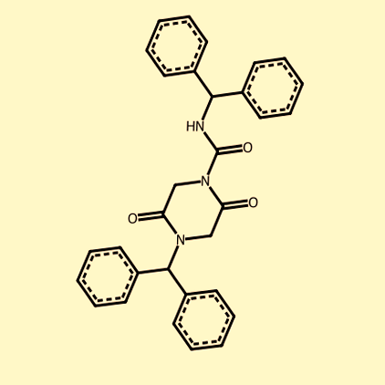 O=C1CN(C(c2ccccc2)c2ccccc2)C(=O)CN1C(=O)NC(c1ccccc1)c1ccccc1